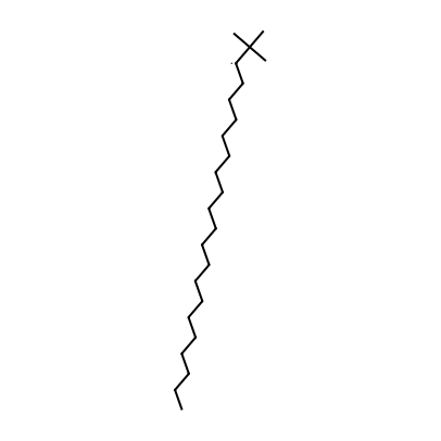 CCCCCCCCCCCCCCCCCCC[CH]C(C)(C)C